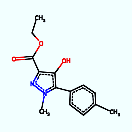 CCOC(=O)c1nn(C)c(-c2ccc(C)cc2)c1O